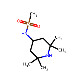 CC1(C)CC(NS(C)(=O)=O)CC(C)(C)N1